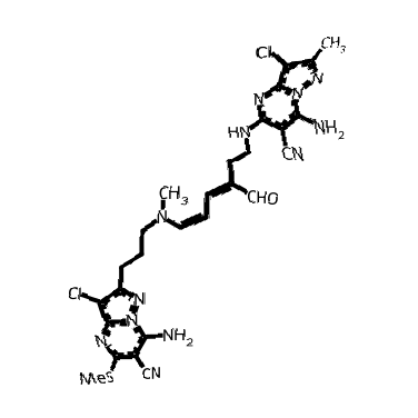 CSc1nc2c(Cl)c(CCCN(C)/C=C\C=C(/C=O)CCNc3nc4c(Cl)c(C)nn4c(N)c3C#N)nn2c(N)c1C#N